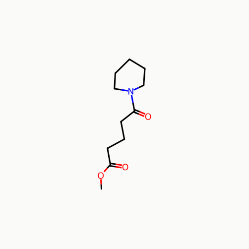 COC(=O)CCCC(=O)N1CCCCC1